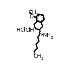 CCCCCCN(N)C1CCc2c(cccc2OC)C1.Cl.Cl